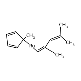 CC(C)=CC(C)=[CH][Ru][C]1(C)C=CC=C1